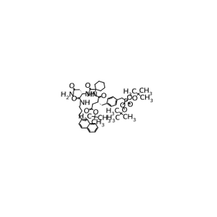 CC(C)(C)OOP(=O)(Cc1ccc(C[C@H](CC(=O)OC(C)(C)C)C(=O)NC2(C(=O)N[C@@H](CC(N)=O)C(=O)NCCCc3ccc4ccccc4c3)CCCCC2)cc1)OOC(C)(C)C